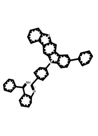 N=C(c1ccccc1)c1ccccc1/N=C/c1ccc(-n2c3ccc(-c4ccccc4)cc3c3cc4sc5ccccc5c4cc32)cc1